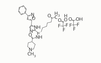 CC(=O)CCCCC[C@H](NC(=O)C1CCN(C)CC1)c1ncc(-c2cc(-c3ccccc3)no2)[nH]1.O=C(O)C(F)(F)F.O=C(O)C(F)(F)F